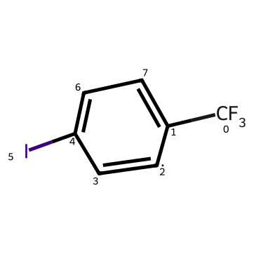 FC(F)(F)c1[c]cc(I)cc1